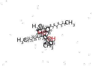 CCCCCCCCCc1cc(Cc2cc(CCCCCCCCC)cc(C(CC)c3ccccc3)c2O)c(O)c(C(CC)c2ccccc2)c1